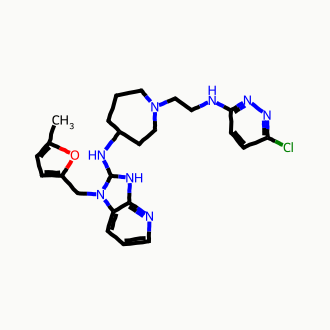 Cc1ccc(CN2c3cccnc3NC2NC2CCCN(CCNc3ccc(Cl)nn3)CC2)o1